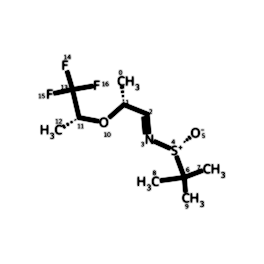 C[C@H](/C=N/[S@+]([O-])C(C)(C)C)O[C@H](C)C(F)(F)F